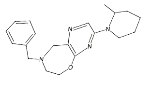 CC1CCCCN1c1cnc2c(n1)OCCN(Cc1ccccc1)C2